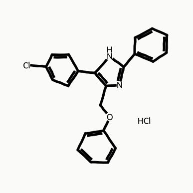 Cl.Clc1ccc(-c2[nH]c(-c3ccccc3)nc2COc2ccccc2)cc1